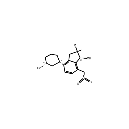 O=[SH](=O)Cc1ccc([C@H]2CCC[C@@H](O)C2)c2c1[C@H](O)C(F)(F)C2